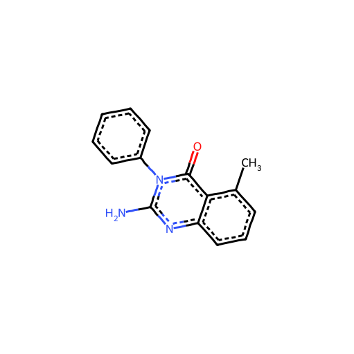 Cc1cccc2nc(N)n(-c3ccccc3)c(=O)c12